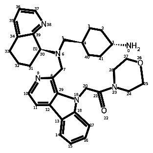 N[C@H]1CC[C@H](CN(Cc2nccc3c4ccccc4n(CC(=O)N4CCOCC4)c23)[C@H]2CCCc3cccnc32)CC1